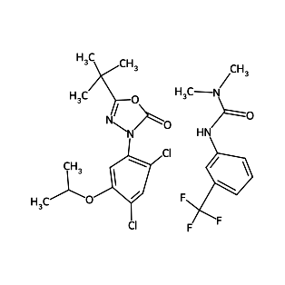 CC(C)Oc1cc(-n2nc(C(C)(C)C)oc2=O)c(Cl)cc1Cl.CN(C)C(=O)Nc1cccc(C(F)(F)F)c1